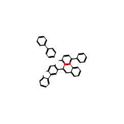 c1ccc(-c2ccc(N(c3ccc(-c4ccccc4)cc3)c3cc4oc5ccccc5c4cc3-c3ccc4ccccc4c3)cc2)cc1